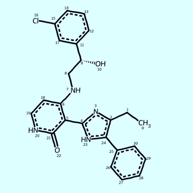 CCc1nc(-c2c(NC[C@@H](O)c3cccc(Cl)c3)cc[nH]c2=O)[nH]c1-c1ccccc1